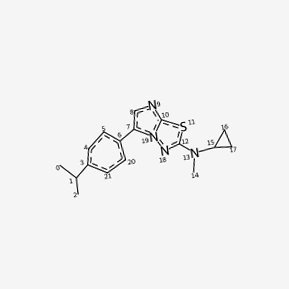 CC(C)c1ccc(-c2cnc3sc(N(C)C4CC4)nn23)cc1